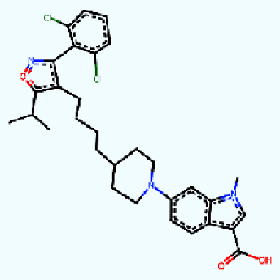 CC(C)c1onc(-c2c(Cl)cccc2Cl)c1CCCCC1CCN(c2ccc3c(C(=O)O)cn(C)c3c2)CC1